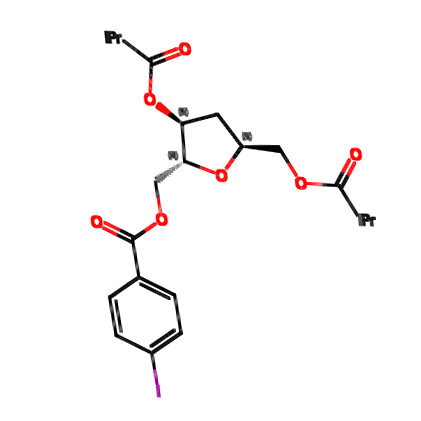 CC(C)C(=O)OC[C@@H]1C[C@H](OC(=O)C(C)C)[C@@H](COC(=O)c2ccc(I)cc2)O1